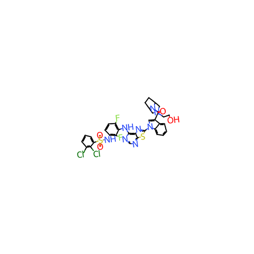 O=C(c1cn(-c2nc3c(Nc4c(F)ccc(NS(=O)(=O)c5cccc(Cl)c5Cl)c4F)ncnc3s2)c2ccccc12)N1C2CCC1CN(CCO)C2